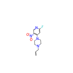 C=CCN1CCN(c2cc(F)ncc2[N+](=O)[O-])CC1